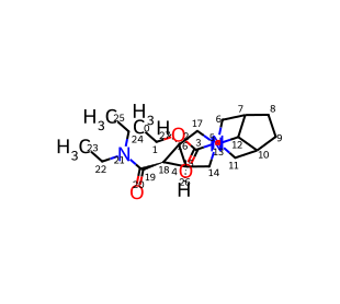 CCOC(=O)N1CC2CCC(C1)C2N1C[C@@H]2[C@H](C1)[C@@H]2C(=O)N(CC)CC